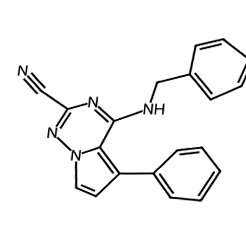 N#Cc1nc(NCc2ccccc2)c2c(-c3ccccc3)ccn2n1